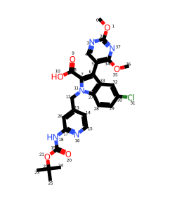 COc1ncc(-c2c(C(=O)O)n(Cc3ccnc(NC(=O)OC(C)(C)C)c3)c3ccc(Cl)cc23)c(OC)n1